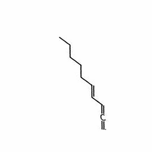 [CH]=C=CC=CCCCCC